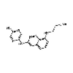 COCCNc1cccc2cc(Nc3cnc(C#N)cn3)ncc12